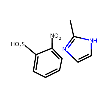 Cc1ncc[nH]1.O=[N+]([O-])c1ccccc1S(=O)(=O)O